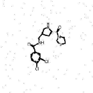 O=C(NCC1CN[C@H](C(=O)N2CCSC2)C1)c1ccc(Cl)c(Cl)c1